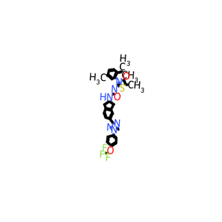 Cc1ccc(C(C)C)c(N2C(=O)C(C)SC2=NC(=O)NC2Cc3ccc(-c4ncn(-c5ccc(OC(F)(F)F)cc5)n4)cc3C2)c1